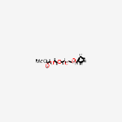 COC(=O)COCCOCCOCCOCc1ccccc1